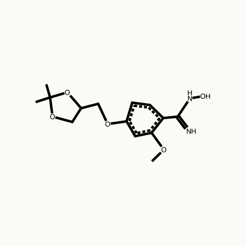 COc1cc(OCC2COC(C)(C)O2)ccc1C(=N)NO